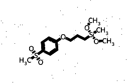 CO[Si](C)(CCCOc1ccc(S(C)(=O)=O)cc1)OC